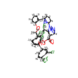 O=C(O)c1cnn(-c2cccc(-c3ccccc3OCc3ccc(-c4ccc(Cl)c(Cl)c4)cc3)n2)c1C(F)(F)F